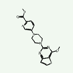 COC(=O)c1ccc(N2CCN(c3nc(OC)c4sccc4n3)CC2)cn1